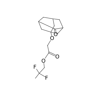 CC(F)(F)COC(=O)COC12CC3CC(C1)C(=O)C(C3)C2